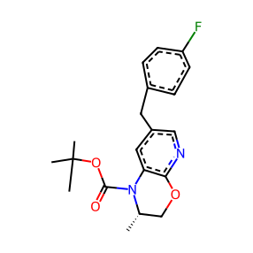 C[C@H]1COc2ncc(Cc3ccc(F)cc3)cc2N1C(=O)OC(C)(C)C